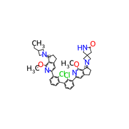 CCC1CN([C@H]2CCc3cc(-c4cccc(-c5cccc(-c6cc7c(c(OC)n6)[C@@H](N6CC8(CNC(=O)C8)C6)CC7)c5Cl)c4Cl)nc(OC)c32)C1